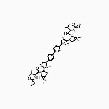 COC(=O)NC(C(=O)N1C2C(C[C@H]1c1ncc(-c3ccc(-c4ccc(-c5cnc([C@@H]6CC7C([C@H]7C)N6C(=O)C(NC(=O)OC)C(C)C)[nH]5)cc4)cc3)[nH]1)[C@@H]2C)C(C)C